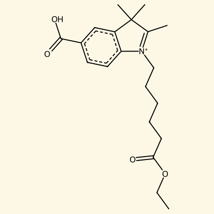 CCOC(=O)CCCCC[N+]1=C(C)C(C)(C)c2cc(C(=O)O)ccc21